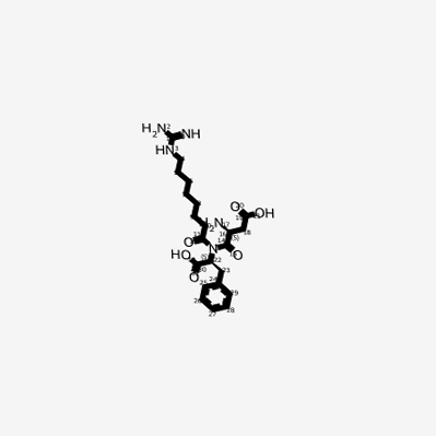 N=C(N)NCCCCCCCC(=O)N(C(=O)[C@@H](N)CC(=O)O)[C@@H](Cc1ccccc1)C(=O)O